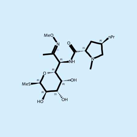 CCC[C@@H]1C[C@@H](C(=O)N[C@H](/C(C)=N/OC)[C@H]2O[C@H](SC)[C@H](O)[C@@H](O)[C@H]2O)N(C)C1